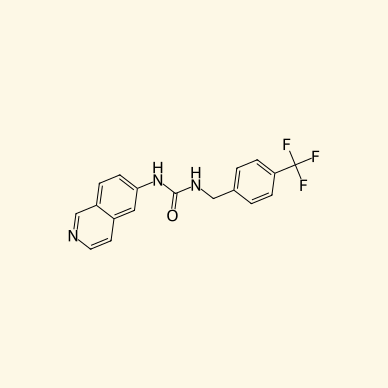 O=C(NCc1ccc(C(F)(F)F)cc1)Nc1ccc2cnccc2c1